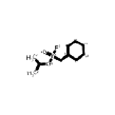 CC(C)OP(=O)(F)CC1CCCCC1